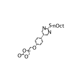 CCCCCCCCSc1ncc(-c2ccc(OC[C@H]3COC(=O)O3)cc2)cn1